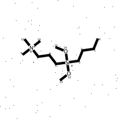 CCCC[Si](CCC[N+](C)(C)C)(OC)OC